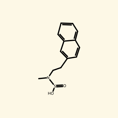 CN(CCc1ccc2ccccc2c1)S(=O)O